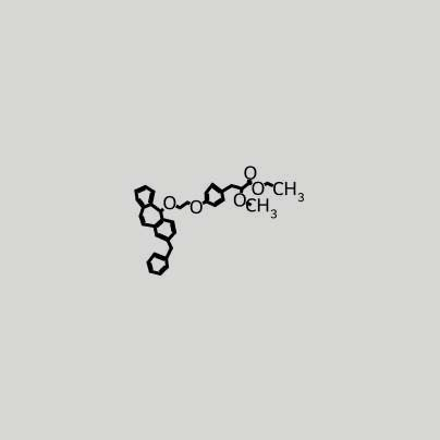 CCOC(=O)C(Cc1ccc(OCCOC2c3ccccc3C=Cc3cc(Cc4ccccc4)ccc32)cc1)OC